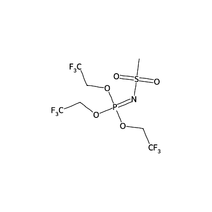 CS(=O)(=O)N=P(OCC(F)(F)F)(OCC(F)(F)F)OCC(F)(F)F